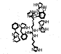 C1=NCCN1.C1CNCN1.Cc1[nH]cnc1CSCCNC(=N)NCCCc1c[nH]cn1.Clc1cccc(Cl)c1N=C1NCCN1.c1ccc(CC2=NCCN2)cc1.c1ccc([C@H]2CN3CCSC3=N2)cc1